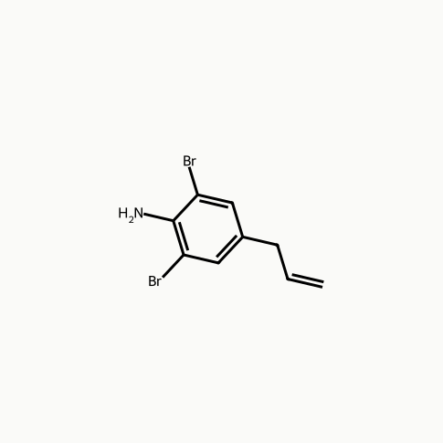 C=CCc1cc(Br)c(N)c(Br)c1